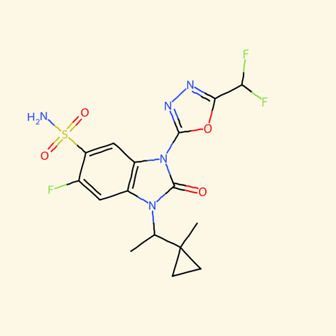 CC(n1c(=O)n(-c2nnc(C(F)F)o2)c2cc(S(N)(=O)=O)c(F)cc21)C1(C)CC1